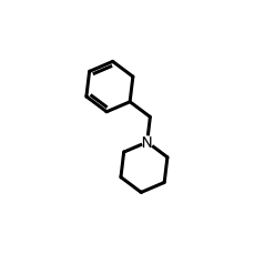 C1=CCC(CN2CCCCC2)C=C1